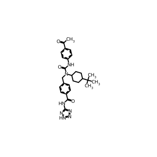 CC(=O)c1ccc(NC(=O)N(Cc2ccc(C(=O)Nc3nn[nH]n3)cc2)C2CCC(C(C)(C)C)CC2)cc1